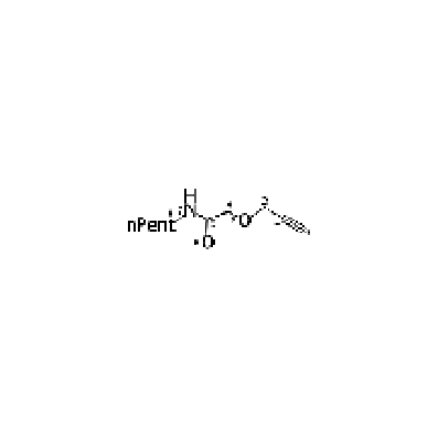 C#CCOCC(=O)NCCCCC